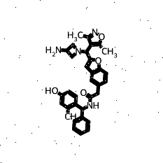 Cc1cc(O)ccc1C(NC(=O)Cc1ccc2oc(C(c3c(C)noc3C)N3CC(N)C3)cc2c1)c1ccccc1